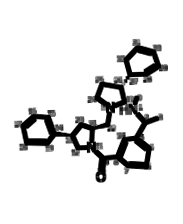 CNC(C)c1cccc(C(=O)N2C[C@@H](c3ccccc3)C[C@H]2CN2CC[C@H](C3C=CC=CC3)C2)c1